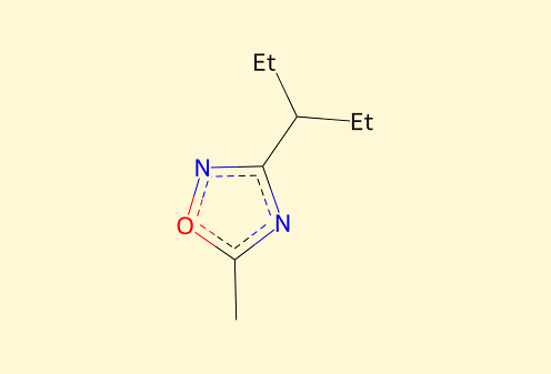 CCC(CC)c1noc(C)n1